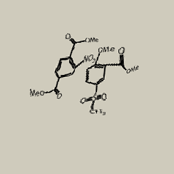 COC(=O)c1cc(S(C)(=O)=O)ccc1OC.COC(=O)c1ccc(C(=O)OC)c([N+](=O)[O-])c1